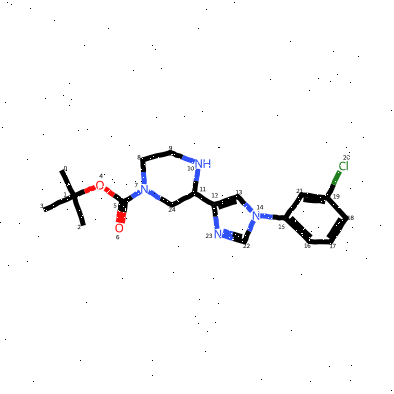 CC(C)(C)OC(=O)N1CCNC(c2cn(-c3cccc(Cl)c3)cn2)C1